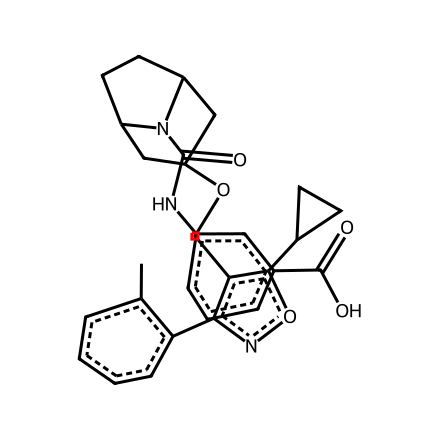 Cc1ccccc1-c1noc(C2CC2)c1COC1CC2CCC(C1)N2C(=O)Nc1cccc(C(=O)O)c1